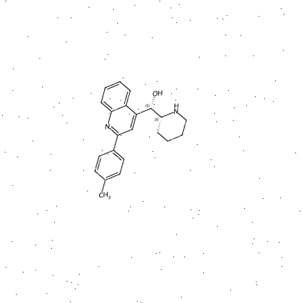 Cc1ccc(-c2cc([C@H](O)[C@H]3CCCCN3)c3ccccc3n2)cc1